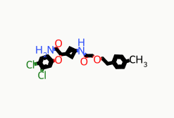 Cc1ccc(CCOCC(=O)NC23CC(C(Oc4ccc(Cl)c(Cl)c4)C(N)=O)(C2)C3)cc1